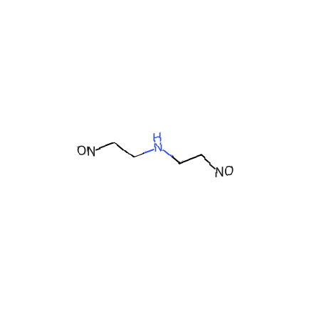 O=NCCNCCN=O